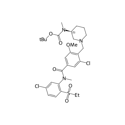 CCS(=O)(=O)c1ccc(Cl)cc1N(C)C(=O)c1cc(Cl)c(CN2CCC[C@H](N(C)C(=O)OC(C)(C)C)C2)c(OC)c1